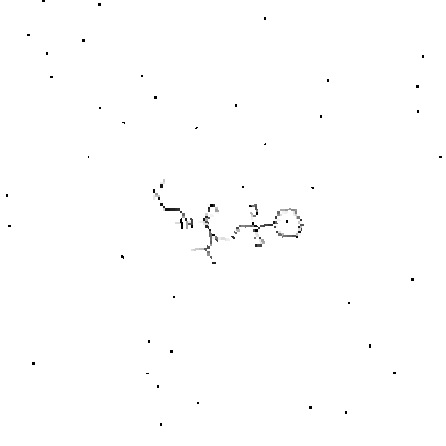 CC(C)N(CCS(=O)(=O)c1ccccc1)C(=O)NCCN(C)C